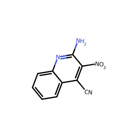 N#Cc1c([N+](=O)[O-])c(N)nc2ccccc12